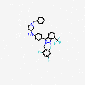 Fc1cc(F)c(Cn2nc3c(C(F)(F)F)cccc3c2-c2ccc(NC3CCN(Cc4ccccc4)C3)cc2)c(F)c1